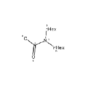 CCCCCCN(CCCCCC)C([O])=O